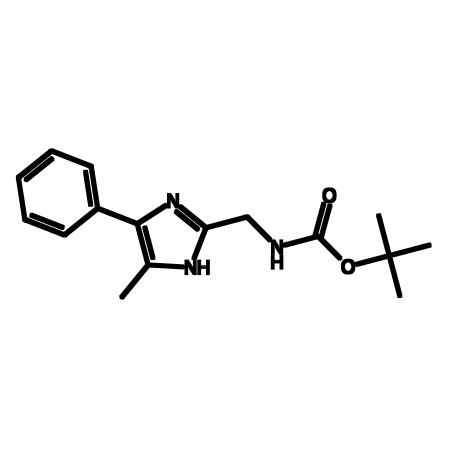 Cc1[nH]c(CNC(=O)OC(C)(C)C)nc1-c1ccccc1